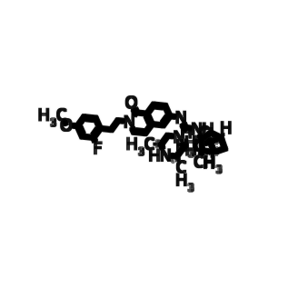 COc1ccc(CCn2ccc3cc(N=C(N[C@H]4C[C@@H]5C[C@@H]([C@H]4C)C5(C)C)N4C[C@@H](C)N[C@@H](C)C4)ccc3c2=O)c(F)c1